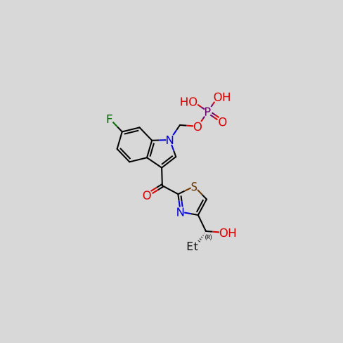 CC[C@@H](O)c1csc(C(=O)c2cn(COP(=O)(O)O)c3cc(F)ccc23)n1